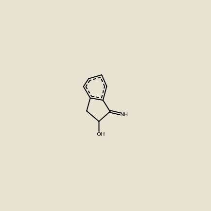 N=C1c2ccccc2CC1O